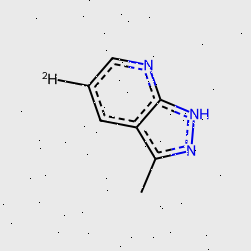 [2H]c1cnc2[nH]nc(C)c2c1